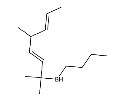 CC=CC(C)C=CC(C)(C)BCCCC